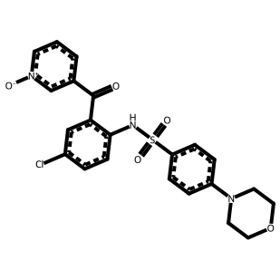 O=C(c1ccc[n+]([O-])c1)c1cc(Cl)ccc1NS(=O)(=O)c1ccc(N2CCOCC2)cc1